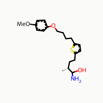 COc1ccc(OCCCCc2ccc(CC[C@@H](C)C(N)O)s2)cc1